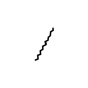 CCCCCCC=CCCCCCCC